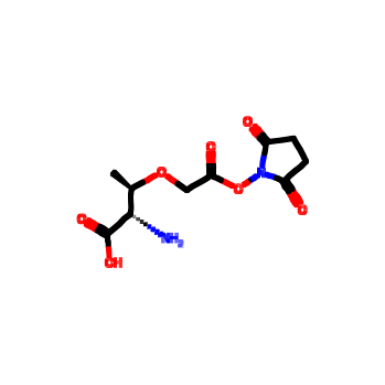 C[C@@H](OCC(=O)ON1C(=O)CCC1=O)[C@H](N)C(=O)O